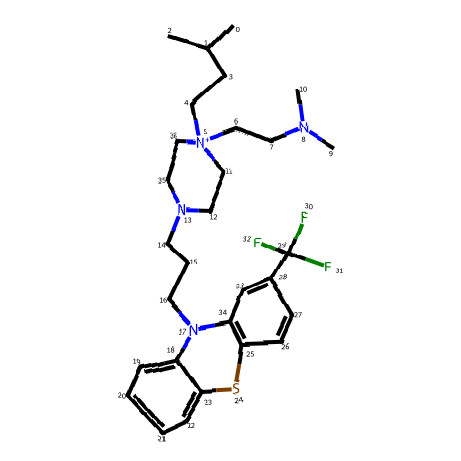 CC(C)CC[N+]1(CCN(C)C)CCN(CCCN2c3ccccc3Sc3ccc(C(F)(F)F)cc32)CC1